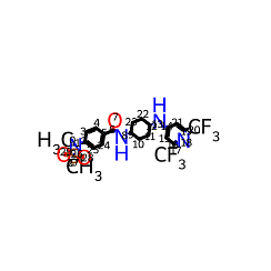 CN(c1ccc(C(=O)N[C@H]2CC[C@@H](Nc3cc(C(F)(F)F)nc(C(F)(F)F)c3)CC2)cc1)S(C)(=O)=O